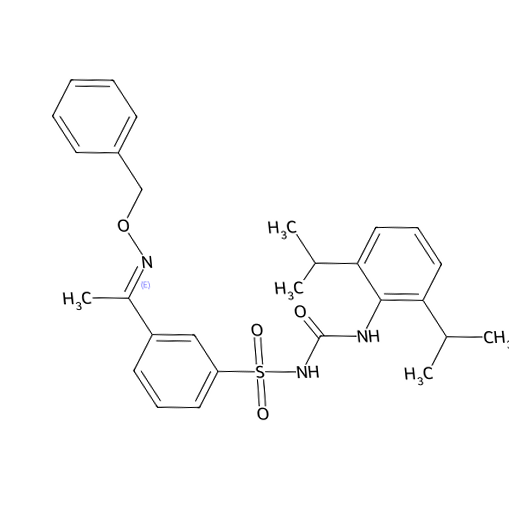 C/C(=N\OCc1ccccc1)c1cccc(S(=O)(=O)NC(=O)Nc2c(C(C)C)cccc2C(C)C)c1